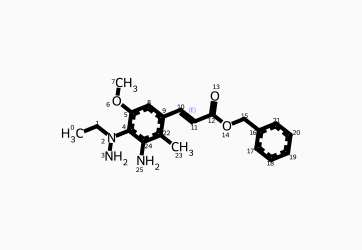 CCN(N)c1c(OC)cc(/C=C/C(=O)OCc2ccccc2)c(C)c1N